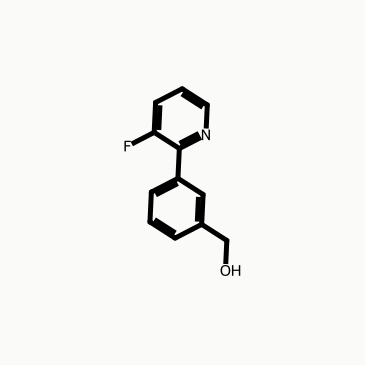 OCc1cccc(-c2ncccc2F)c1